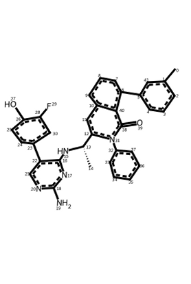 Cc1cccc(-c2cccc3cc([C@H](C)Nc4nc(N)ncc4-c4ccc(O)c(F)c4)n(-c4ccccc4)c(=O)c23)c1